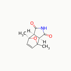 CC12C=C[C@](C)(O1)[C@H]1C(=O)NC(=O)[C@H]12